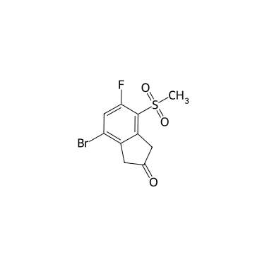 CS(=O)(=O)c1c(F)cc(Br)c2c1CC(=O)C2